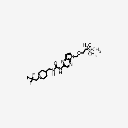 C[Si](C)(C)CCOCn1ccc2nc(NC(=O)NCC3CCN(CC(F)(F)F)CC3)cnc21